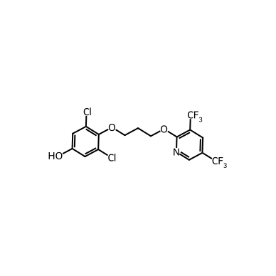 Oc1cc(Cl)c(OCCCOc2ncc(C(F)(F)F)cc2C(F)(F)F)c(Cl)c1